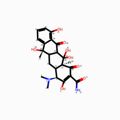 CN(C)[C@@H]1C(O)=C(C(N)=O)C(=O)[C@H]2C1CC1C(C(=O)c3c(O)cccc3[C@@]1(C)O)C2(O)O